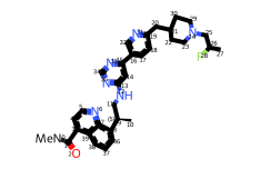 CNC(=O)c1ccnc2c([C@H](C)CNc3cc(-c4ccc(CC5CCN(CC(C)F)CC5)nc4)ncn3)cccc12